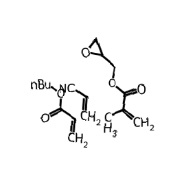 C=C(C)C(=O)OCC1CO1.C=CC#N.C=CC(=O)OCCCC